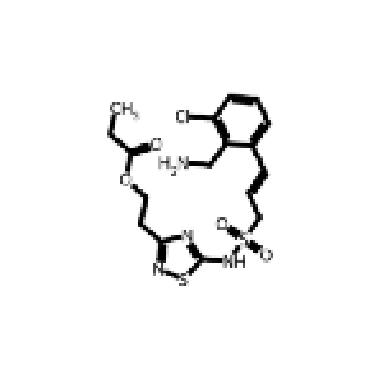 CCC(=O)OCCc1nsc(NS(=O)(=O)CC=Cc2cccc(Cl)c2CN)n1